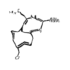 CNc1nc(C)c2ccc(Cl)cc2n1